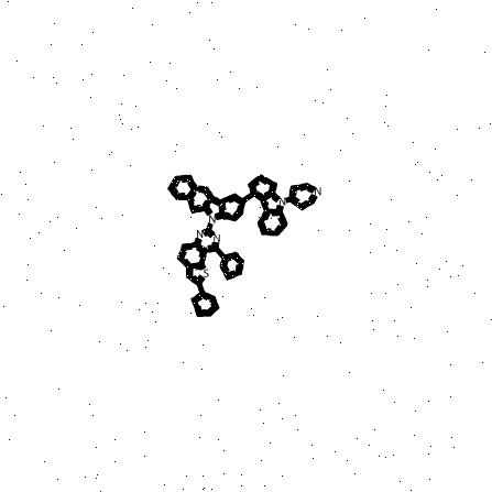 c1ccc(-c2cc3ccc4nc(-n5c6ccc(-c7cccc8c7c7ccccc7n8-c7ccncc7)cc6c6cc7ccccc7cc65)nc(-c5ccccc5)c4c3s2)cc1